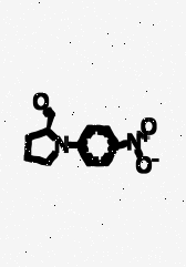 O=C[C@@H]1CCCN1c1ccc([N+](=O)[O-])cc1